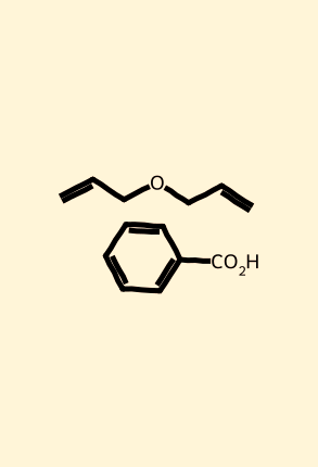 C=CCOCC=C.O=C(O)c1ccccc1